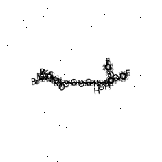 O=C(COCCOCCOCCOCCNC[C@@H](O)COc1ccc(OCc2ccc(F)cc2)c(OCc2ccc(F)cc2)c1)N1CCN(c2nc(-n3cc(Br)nc3Br)cs2)CC1